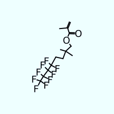 C=C(C)C(=O)OCC(C)(C)CCC(F)(F)C(F)(F)C(F)(F)C(F)(F)F